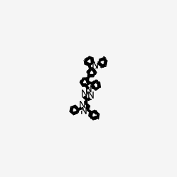 c1ccc(-c2cc(-c3cnc(-n4c5ccccc5c5c(-c6ccc7c(c6)c6ccccc6n7-c6ccccc6)cccc54)nc3)nc(-c3ccccc3)n2)cc1